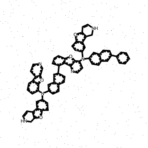 C1=Cc2c(oc3ccc(N(c4ccc5ccc(-c6cccc7oc8c(N(c9ccc%10cc(-c%11ccccc%11)ccc%10c9)c9ccc%10oc%11c(c%10c9)CNC=C%11)ccnc8c67)cc5c4)c4cccc5c4oc4cnccc45)cc23)CN1